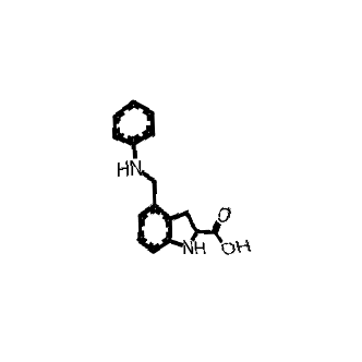 O=C(O)C1Cc2c(CNc3ccccc3)cccc2N1